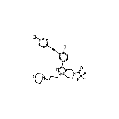 O=C(N1CCc2c(c(-c3ccc(Cl)c(C#Cc4ccc(Cl)cc4)c3)nn2CCCN2CCOCC2)C1)C(F)(F)F